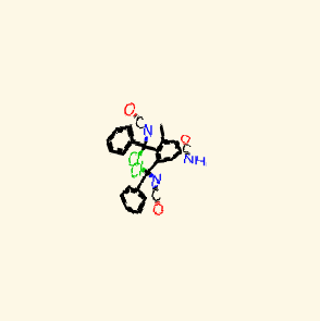 Cc1cccc(C(Cl)(N=C=O)c2ccccc2)c1C(Cl)(N=C=O)c1ccccc1.N=C=O